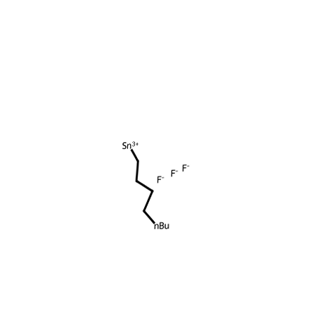 CCCCCCC[CH2][Sn+3].[F-].[F-].[F-]